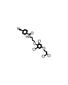 N#Cc1ccc(C(=O)NCCCOc2c(Cl)cc(OCC=C(Cl)Cl)cc2Cl)cc1